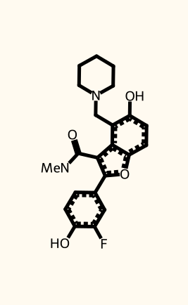 CNC(=O)c1c(-c2ccc(O)c(F)c2)oc2ccc(O)c(CN3CCCCC3)c12